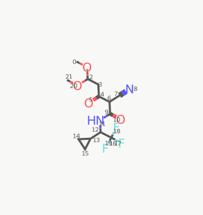 COC(CC(=O)C(C#N)C(=O)NC(C1CC1)C(F)(F)F)OC